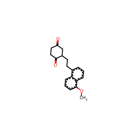 COc1cccc2c(CCC3CC(=O)CCC3=O)cccc12